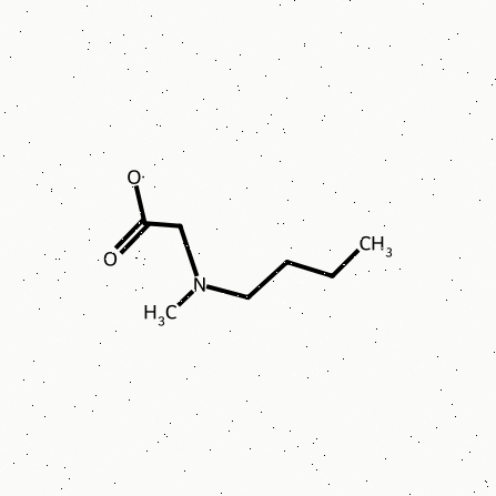 CCCCN(C)CC([O])=O